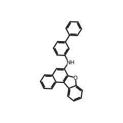 c1ccc(-c2cccc(Nc3cc4ccccc4c4c3oc3ccccc34)c2)cc1